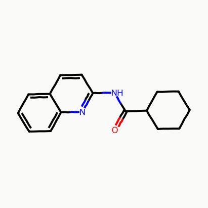 O=C(Nc1ccc2ccccc2n1)C1CCCCC1